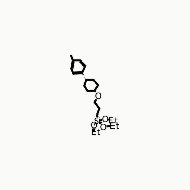 CCO[Si](CCCO[C@H]1CC[C@H](c2ccc(C)cc2)CC1)(OCC)OCC